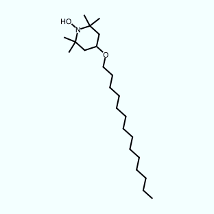 CCCCCCCCCCCCCCOC1CC(C)(C)N(O)C(C)(C)C1